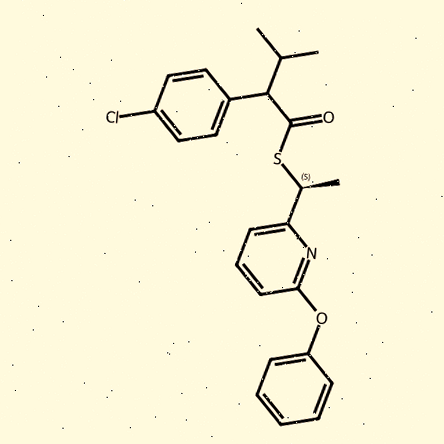 CC(C)C(C(=O)S[C@@H](C)c1cccc(Oc2ccccc2)n1)c1ccc(Cl)cc1